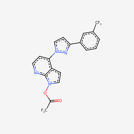 O=C(On1ccc2c(-n3ccc(-c4cccc(C(F)(F)F)c4)n3)ccnc21)C(F)(F)F